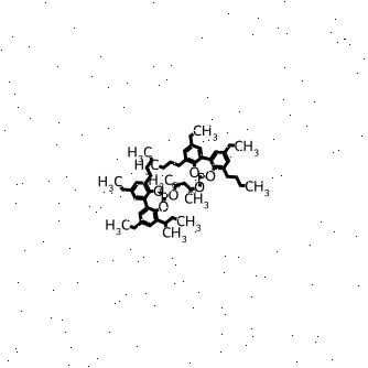 CCCCc1cc(CC)cc2c1op(O[C@H](C)C[C@@H](C)Op1oc3c(CCCC)cc(CC)cc3c3cc(CC)cc(C(C)CC)c3o1)oc1c(CCCC)cc(CC)cc12